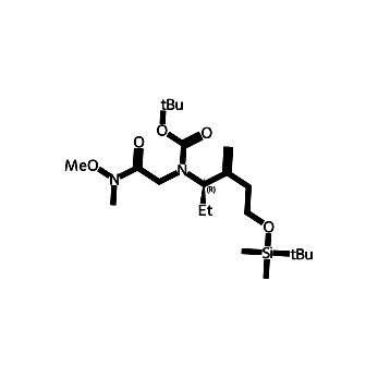 C=C(CCO[Si](C)(C)C(C)(C)C)[C@@H](CC)N(CC(=O)N(C)OC)C(=O)OC(C)(C)C